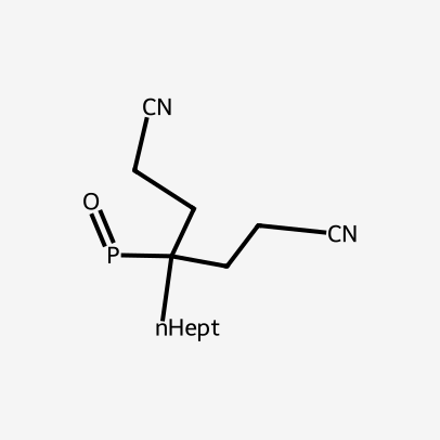 CCCCCCCC(CCC#N)(CCC#N)P=O